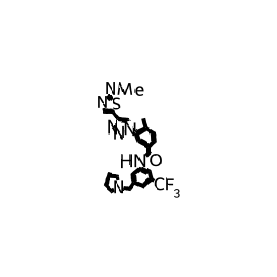 CNc1ncc(-c2cn(-c3cc(C(=O)Nc4cc(CN5CCCC5)cc(C(F)(F)F)c4)ccc3C)nn2)s1